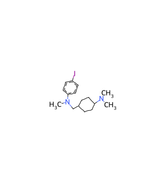 CN(CC1CCC(N(C)C)CC1)c1ccc(I)cc1